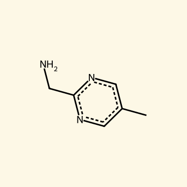 Cc1cnc(CN)nc1